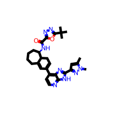 Cc1cc(-c2nc3c(C4=CCC5C(=C4)CCCC[C@H]5NC(=O)c4nnc(C(C)(C)C)o4)ccnc3[nH]2)nn1C